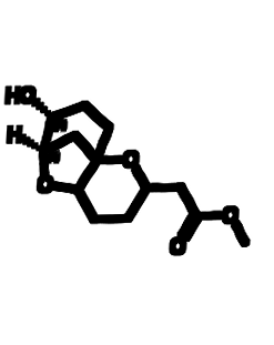 COC(=O)CC1CCC2O[C@@H]3CC2(CC[C@H]3O)O1